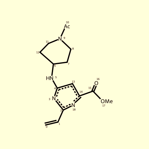 C=Cc1nc(NC2CCN(C(C)=O)CC2)cc(C(=O)OC)n1